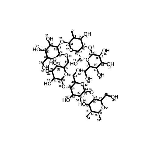 CC1C(O)[C@H](O[C@@H]2OC(CO)[C@H](O)C(O)[C@@H]2O)[C@H](CO)O[C@H]1O[C@@H]1C(O)[C@H](O)C(CO)O[C@@H]1OCC1O[C@@H](O[C@@H]2C(CO)O[C@@H](O[C@@H]3C(CO)O[C@@H](C)[C@@H](C)C3O)[C@@H](C)C2O)C(O)C(O)[C@@H]1O